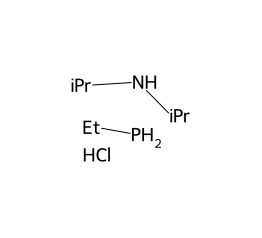 CC(C)NC(C)C.CCP.Cl